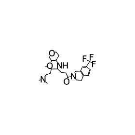 COC1COCCC1NC(CCCN(C)C)CCC(=O)N1CCc2ccc(C(F)(F)F)cc2C1